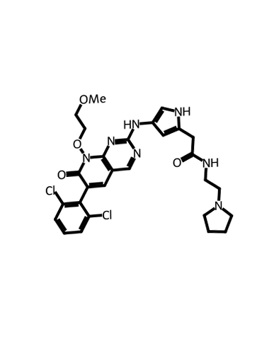 COCCOn1c(=O)c(-c2c(Cl)cccc2Cl)cc2cnc(Nc3c[nH]c(CC(=O)NCCN4CCCC4)c3)nc21